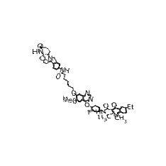 CCc1ccc2c(c1)c(=O)c(C(=O)Nc1ccc(Oc3ncnc4cc(OCCCCCC(=O)Nc5ccc6c(c5)CN(C5CCC(=O)NC5=O)C6=O)c(OC)cc34)c(F)c1)c(C)n2C